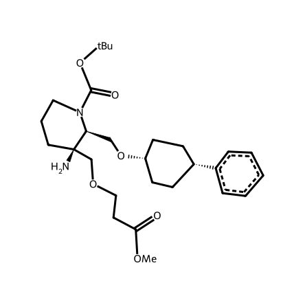 COC(=O)CCOC[C@]1(N)CCCN(C(=O)OC(C)(C)C)[C@H]1CO[C@H]1CC[C@@H](c2ccccc2)CC1